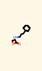 O=C1OC[C@@H]1NCCCc1ccccc1